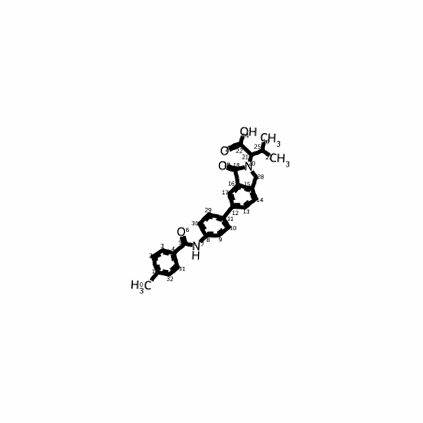 Cc1ccc(C(=O)Nc2ccc(-c3ccc4c(c3)C(=O)N(C(C(=O)O)C(C)C)C4)cc2)cc1